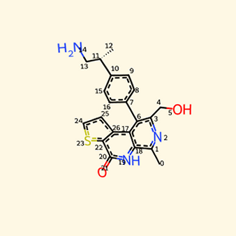 Cc1nc(CO)c(-c2ccc([C@@H](C)CN)cc2)c2c1[nH]c(=O)c1sccc12